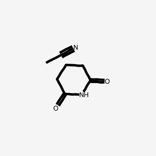 CC#N.O=C1CCCC(=O)N1